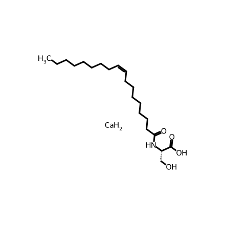 CCCCCCCC/C=C\CCCCCCCC(=O)N[C@@H](CO)C(=O)O.[CaH2]